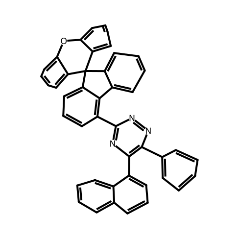 c1ccc(-c2nnc(-c3cccc4c3-c3ccccc3C43c4ccccc4Oc4ccccc43)nc2-c2cccc3ccccc23)cc1